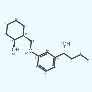 CCC[C@@H](O)c1cccc(OC[C@@H]2CCCC[C@@H]2O)c1